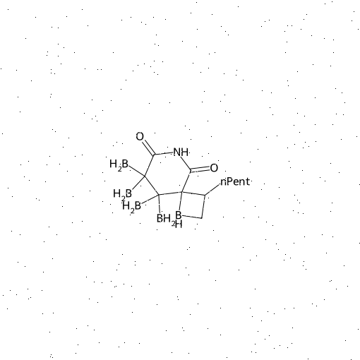 BC1(B)C(=O)NC(=O)C2(BCC2CCCCC)C1(B)B